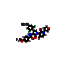 COc1cc(F)c([C@@H]2CN(c3c(C)ccn(C4CCOC4)c3=O)C(=O)[C@H]2NC(=O)c2ccc(OC(F)(F)F)cc2)c(F)c1